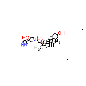 C[C@@H](C(=O)CC(=O)N1CCC(O)(c2ccnnc2)CC1)[C@H]1CC[C@H]2[C@@H]3CC=C4C[C@@H](O)CC[C@]4(C)[C@H]3CC[C@@]12C